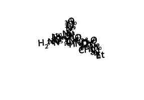 CCN1CCN(C(=O)c2ccc(NC(=O)N3CCc4c(C5C=NC(N)=NC5)nc(N5CCOCC5)nc43)c(C)c2)CC1